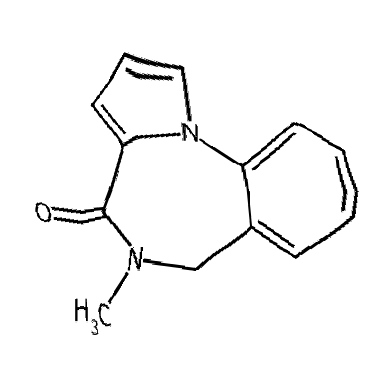 CN1Cc2ccccc2-n2cccc2C1=O